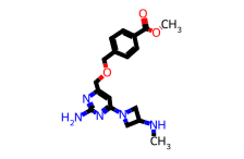 CNC1CN(c2cc(COCc3ccc(C(=O)OC)cc3)nc(N)n2)C1